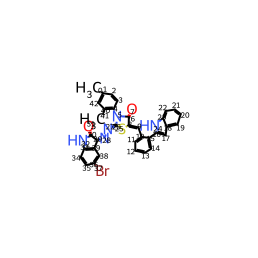 Cc1ccc(N2C(=O)C(=Cc3ccccc3-c3cc4ccccc4[nH]3)SC2=NN=C2C(=O)Nc3ccc(Br)cc32)c(C)c1